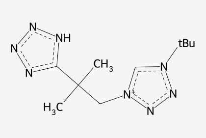 CC(C)(C[n+]1cn(C(C)(C)C)nn1)c1nnn[nH]1